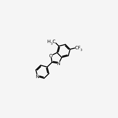 Cc1cc(C(F)(F)F)cc2nc(-c3ccncc3)oc12